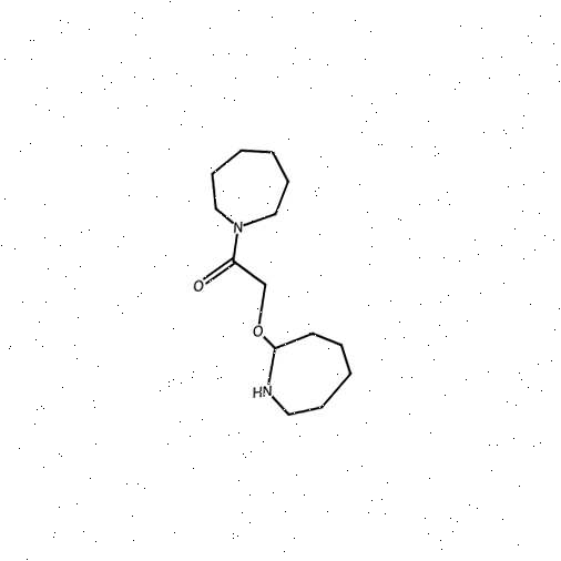 O=C(COC1CCCCCN1)N1CCCCCC1